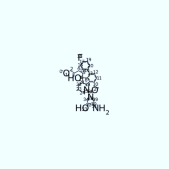 COCCCC[C@@](O)(c1ccccc1-c1ccc(F)cc1)[C@@H]1CCCN(C(=O)N2C[C@@H](N)[C@@H](O)C2)C1